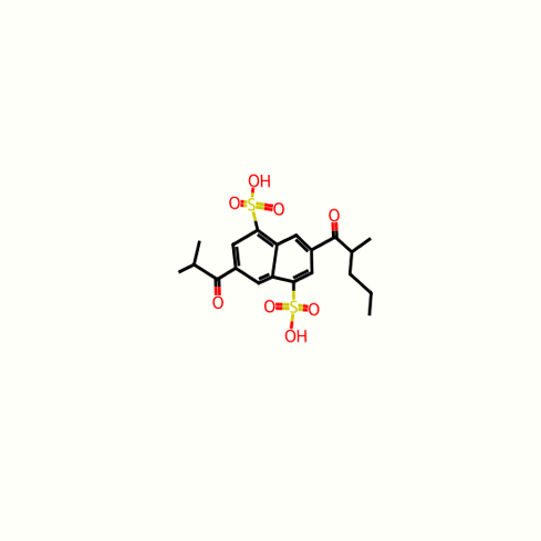 CCCC(C)C(=O)c1cc(S(=O)(=O)O)c2cc(C(=O)C(C)C)cc(S(=O)(=O)O)c2c1